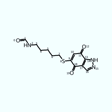 O=CNCCCCCSC1=CC(=O)c2[nH]ncc2C1=O